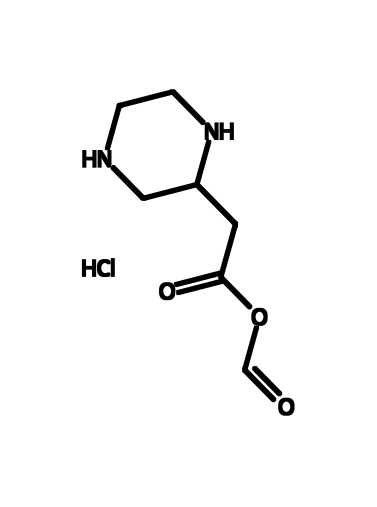 Cl.O=COC(=O)CC1CNCCN1